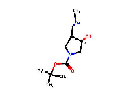 CNCC1CN(C(=O)OC(C)(C)C)C[C@@H]1O